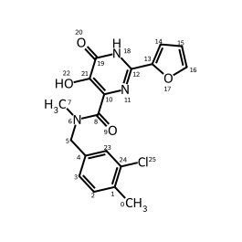 Cc1ccc(CN(C)C(=O)c2nc(-c3ccco3)[nH]c(=O)c2O)cc1Cl